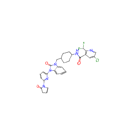 O=C(NC1CCC(Cn2c(=O)n(-c3cccc(N4CCCC4=O)n3)c3ccccc32)CC1)c1cc(Cl)cnc1C(F)F